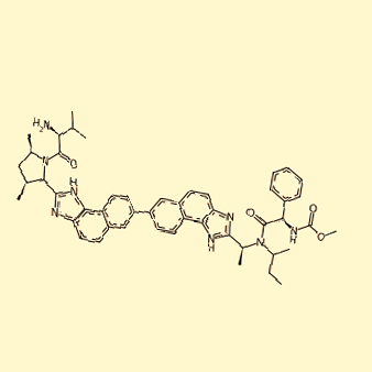 CCC(C)N(C(=O)[C@H](NC(=O)OC)c1ccccc1)[C@@H](C)c1nc2ccc3cc(-c4ccc5c(ccc6nc(C7[C@@H](C)C[C@@H](C)N7C(=O)[C@@H](N)C(C)C)[nH]c65)c4)ccc3c2[nH]1